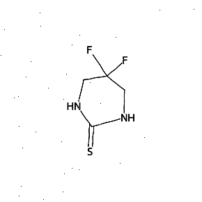 FC1(F)CNC(=S)NC1